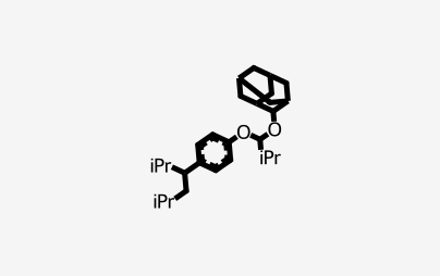 CC(C)CC(c1ccc(OC(OC2C3CC4CC(C3)CC2C4)C(C)C)cc1)C(C)C